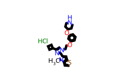 Cl.Cn1c(-c2nc(C3CCC3)cn2CCOc2cccc(OC3CCNCC3)c2)cc2sccc21